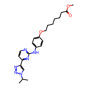 COC(=O)CCCCCCOc1ccc(Nc2nccc(-c3cn(C(C)C)nn3)n2)cc1